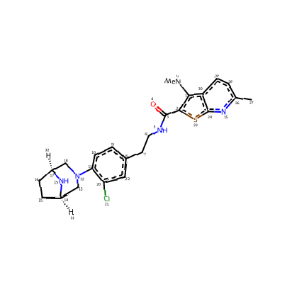 CNc1c(C(=O)NCCc2ccc(N3C[C@H]4CC[C@@H](C3)N4)c(Cl)c2)sc2nc(C)ccc12